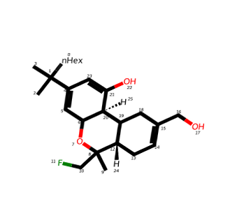 CCCCCCC(C)(C)C1=CC2OC(C)(CF)[C@H]3CC=C(CO)CC3[C@@H]2C(O)=C1